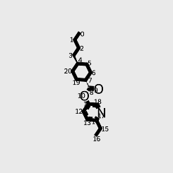 CCCC[C@H]1CC[C@H](C(=O)Oc2ccc(CC)nc2)CC1